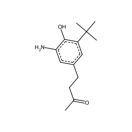 CC(=O)CCc1cc(N)c(O)c(C(C)(C)C)c1